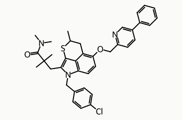 CC1Cc2c(OCc3ccc(-c4ccccc4)cn3)ccc3c2c(c(CC(C)(C)C(=O)N(C)C)n3Cc2ccc(Cl)cc2)S1